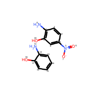 Nc1ccc([N+](=O)[O-])cc1O.Nc1ccccc1O